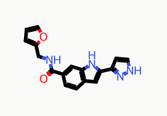 O=C(NCc1ccco1)c1ccc2cc(-c3cc[nH]n3)[nH]c2c1